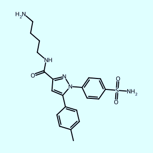 Cc1ccc(-c2cc(C(=O)NCCCCN)nn2-c2ccc(S(N)(=O)=O)cc2)cc1